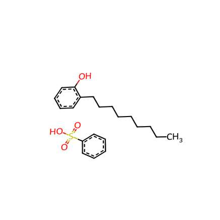 CCCCCCCCCc1ccccc1O.O=S(=O)(O)c1ccccc1